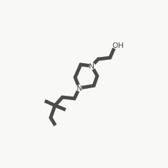 CCC(C)(C)CCN1CCN(CCO)CC1